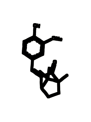 COc1cc(C=C2C(=O)C3(C)CCC2C3(C)C)ccc1O